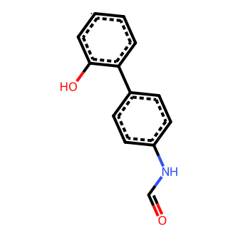 O=CNc1ccc(-c2cc[c]cc2O)cc1